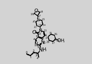 CCCC(C)Nc1ncc2c(=O)n(C3CCN(C4COC4)CC3)cc([C@H]3CC[C@H](O)CC3)c2n1